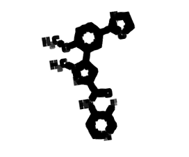 COc1ccc(-c2ncco2)cc1-c1cc(C(=O)Nc2ccncc2F)nn1C